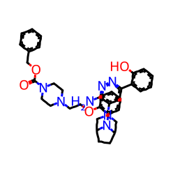 Nc1nnc(-c2ccccc2O)cc1N1CC2CCC(C1)N2c1ccccc1OCCN1CCN(C(=O)OCc2ccccc2)CC1